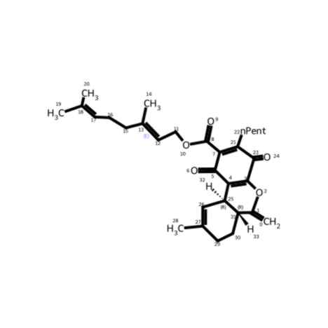 C=C1OC2=C(C(=O)C(C(=O)OC/C=C(\C)CCC=C(C)C)=C(CCCCC)C2=O)[C@@H]2C=C(C)CC[C@@H]12